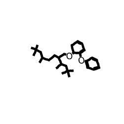 CC(CCC(COC1CC=CC=C1Oc1ccccc1)C(C)CC(C)(C)C)CC(C)(C)C